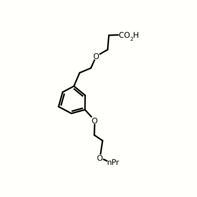 CCCOCCOc1cccc(CCOCCC(=O)O)c1